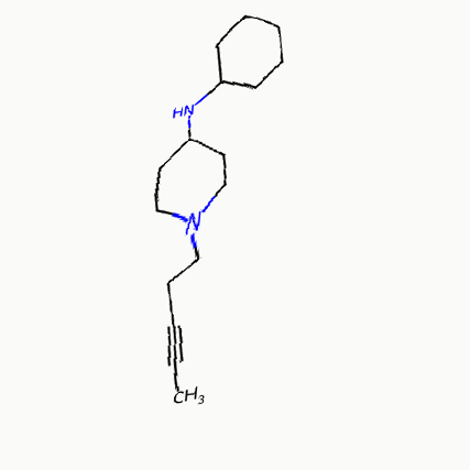 CC#CCCN1CCC(NC2CCCCC2)CC1